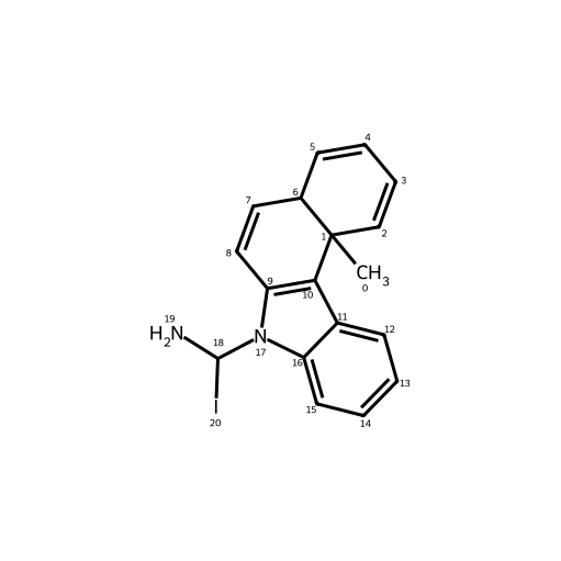 CC12C=CC=CC1C=Cc1c2c2ccccc2n1C(N)I